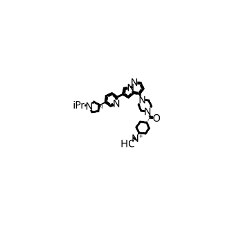 C#[N+][C@H]1CC[C@H](C(=O)N2CCN(c3ccnn4cc(-c5ccc([C@H]6CCN(C(C)C)C6)cn5)cc34)CC2)CC1